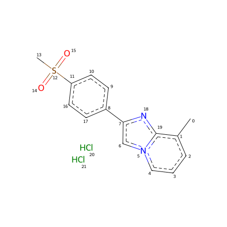 Cc1cccn2cc(-c3ccc(S(C)(=O)=O)cc3)nc12.Cl.Cl